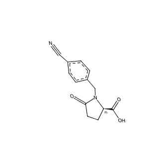 N#Cc1ccc(CN2C(=O)CC[C@@H]2C(=O)O)cc1